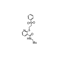 CCC(C)CNC(=O)c1cccnc1SCCS(=O)(=O)c1ccccc1